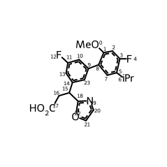 COc1cc(F)c(C(C)C)cc1-c1cc(F)cc(C(CC(=O)O)c2ncco2)c1